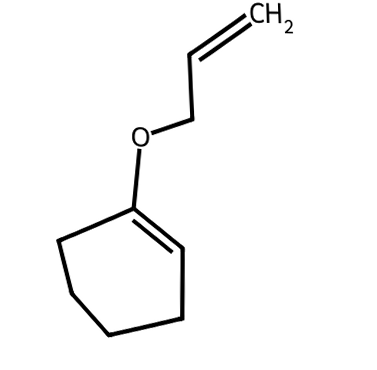 C=CCOC1=CCCCC1